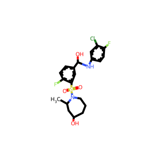 CC1CC(O)CCCN1S(=O)(=O)c1cc(C(O)Nc2ccc(F)c(Cl)c2)ccc1F